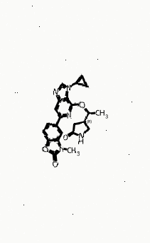 CC(Oc1nc(-c2ccc3oc(=O)n(C)c3c2)cc2ncn(C3CC3)c12)[C@H]1CNC(=O)C1